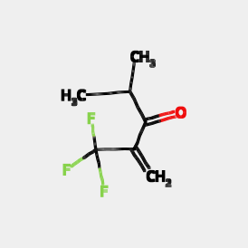 C=C(C(=O)C(C)C)C(F)(F)F